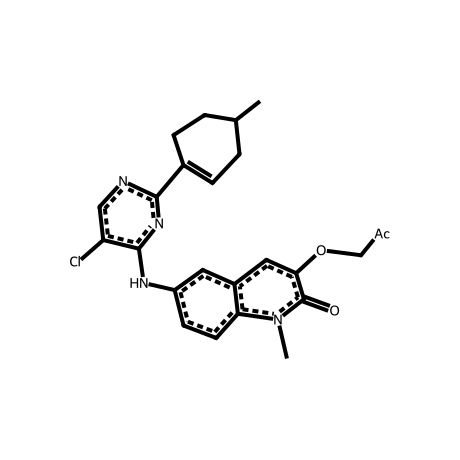 CC(=O)COc1cc2cc(Nc3nc(C4=CCC(C)CC4)ncc3Cl)ccc2n(C)c1=O